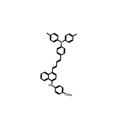 COc1ccc(Nc2ccc(/C=C/C=C/c3ccc(N(c4ccc(C)cc4)c4ccc(C)cc4)cc3)c3ccccc23)cc1